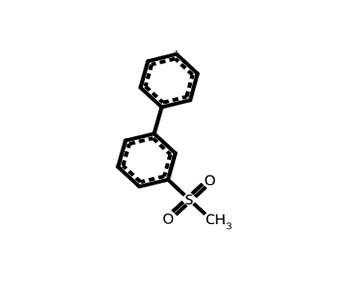 CS(=O)(=O)c1cccc(-c2cc[c]cc2)c1